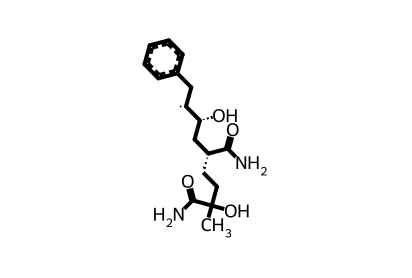 CC(O)(CC[C@H](C[C@@H](O)[CH]Cc1ccccc1)C(N)=O)C(N)=O